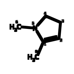 CC1=CC[CH]N1C